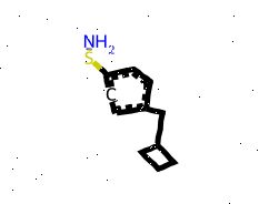 NSc1ccc(CC2CCC2)cc1